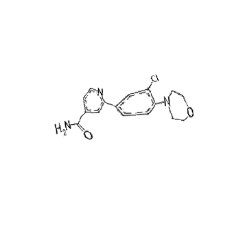 NC(=O)c1ccnc(-c2ccc(N3CCOCC3)c(Cl)c2)c1